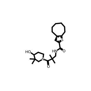 CC(C)(CNC(=O)c1cc2c(s1)CCCCCC2)C(=O)N1CCC(O)C(C)(C)C1